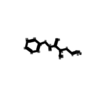 C=CCN(S)C(=O)NCc1cccnc1